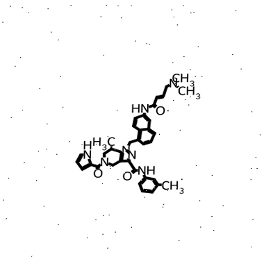 Cc1cccc(NC(=O)c2nn(Cc3cccc4cc(NC(=O)/C=C/CN(C)C)ccc34)c3c2CN(C(=O)c2ccc[nH]2)C[C@H]3C)c1